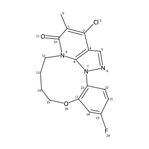 Cc1c(Cl)c2cnn3c2n(c1=O)CCCCOc1cc(F)ccc1-3